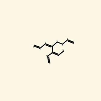 C=C/C=C(CCC=C)\C(C=C)=C/C